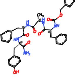 C[C@H](NC(=O)[C@H](Cc1ccccc1)NC(=O)OCc1ccccc1)C(=O)N[C@@H](Cc1ccccc1)C(=O)N[C@@H](Cc1ccc(O)cc1)C(N)=O